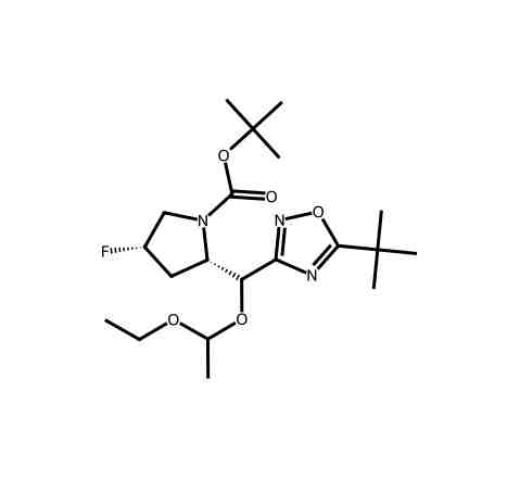 CCOC(C)OC(c1noc(C(C)(C)C)n1)[C@@H]1C[C@H](F)CN1C(=O)OC(C)(C)C